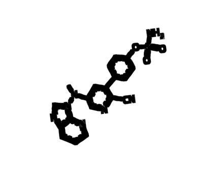 CN(c1cnc(C#N)c(-c2ccc(OS(N)(=O)=O)cc2)c1)n1cnc2cccnc21